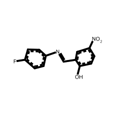 O=[N+]([O-])c1ccc(O)c(/C=N/c2ccc(F)cc2)c1